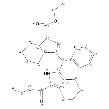 CCOC(=O)c1[nH]c(C(c2ccccc2)c2[nH]c(C(=O)OCC)c3c2CCCC3)c2c1CCCC2